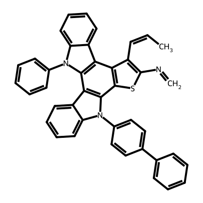 C=Nc1sc2c(c1/C=C\C)c1c3ccccc3n(-c3ccccc3)c1c1c3ccccc3n(-c3ccc(-c4ccccc4)cc3)c21